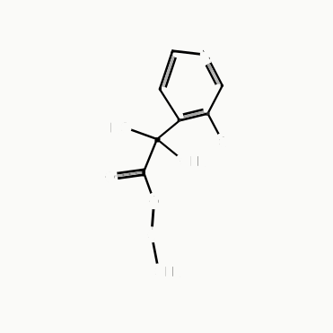 CCOC(=O)C(C)(C)c1ccncc1Cl